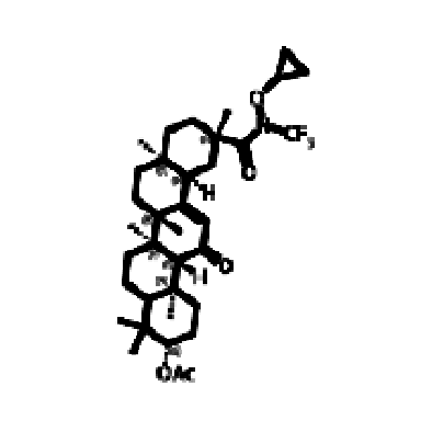 CC(=O)O[C@H]1CC[C@@]2(C)C(CC[C@]3(C)[C@@H]2C(=O)C=C2[C@@H]4C[C@@](C)(C(=O)N(OC5CC5)C(F)(F)F)CC[C@]4(C)CC[C@]23C)C1(C)C